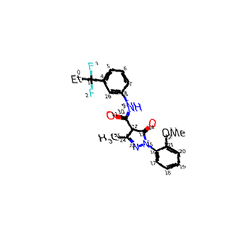 CCC(F)(F)c1cccc(NC(=O)C2C(=O)N(c3ccccc3OC)N=C2C)c1